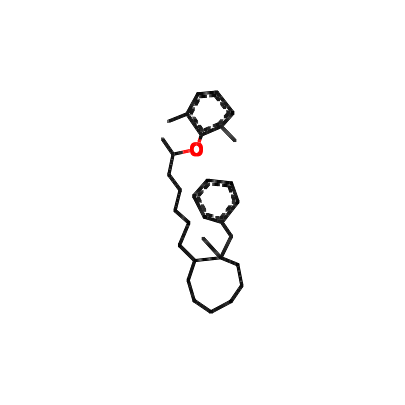 Cc1cccc(C)c1OC(C)CCCCCC1CCCCCCC1(C)Cc1ccccc1